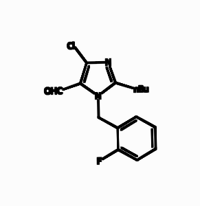 CCCCc1nc(Cl)c(C=O)n1Cc1ccccc1F